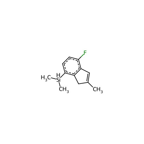 CC1=Cc2c(F)ccc([SiH](C)C)c2C1